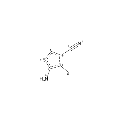 Cc1c(C#N)csc1N